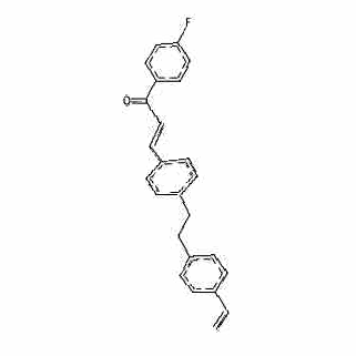 C=Cc1ccc(CCc2ccc(/C=C/C(=O)c3ccc(F)cc3)cc2)cc1